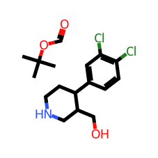 CC(C)(C)OC=O.OCC1CNCCC1c1ccc(Cl)c(Cl)c1